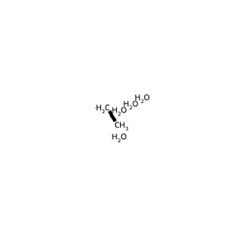 O.O.O.O.[CH2]C